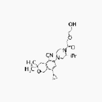 CC(C)[C@@H]1CN(c2cc(C3CC3)c3c(c2C#N)CC(C)(C)OC3)CCN1C(=O)COCCO